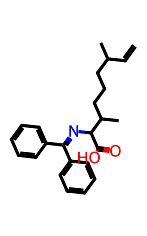 C=CC(C)CCCC(C)C(N=C(c1ccccc1)c1ccccc1)C(=O)O